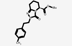 Cc1ccc(CCn2nc3n(c2=O)[C@H](C(=O)OC(C)(C)C)CCC3)cc1